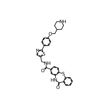 O=C(NCc1cnc(-c2ccc(OCC3CCNCC3)cc2)s1)c1ccc2c(c1)NC(=O)c1ccccc1S2